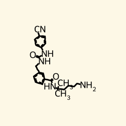 CC(C)(CCCCN)NC(=O)c1cccc(CNC(=O)Nc2ccc(C#N)cc2)c1